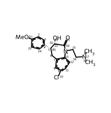 COc1ccc([C@H]2Cc3cc(Cl)ccc3N(CCN(C)C)C(=O)[C@H]2O)cc1